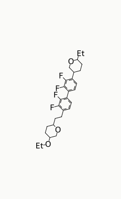 CCOC1CCC(CCc2ccc(-c3ccc(C4CCC(CC)OC4)c(F)c3F)c(F)c2F)OC1